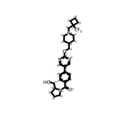 O=C(c1ccc(-c2cnc(OCC3CCN(CC4(C(F)(F)F)CCC4)CC3)nc2)cc1)N1CCCC1CO